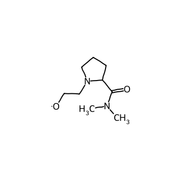 CN(C)C(=O)C1CCCN1CC[O]